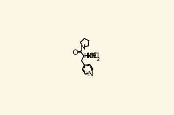 Cl.Cl.NC(Cc1ccncc1)C(=O)N1CCCC1